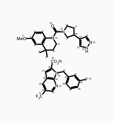 COc1ccc2c(c1)C(C)(C)CCN2C(=O)N1CCC(c2cn[nH]c2)C1.O=C(O)c1cc2cc(C(F)(F)F)cnc2n1Cc1cccc(F)c1